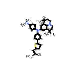 CN(C)c1ccc(N(c2ccc(-c3ccc(/C=C(\C#N)C(=O)O)s3)cc2)c2cc3c4c(c2)C(C)(C)CCN4CCC3(C)C)cc1